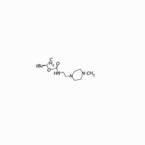 C[C@@H](OC(=O)NCCN1CCN(C)CC1)C(C)(C)C